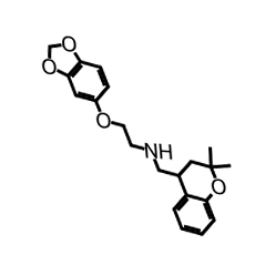 CC1(C)CC(CNCCOc2ccc3c(c2)OCO3)c2ccccc2O1